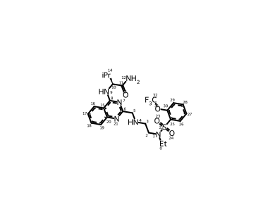 CCN(CCNCc1nc(N[C@H](C(N)=O)C(C)C)c2ccccc2n1)S(=O)(=O)c1ccccc1OC(F)(F)F